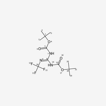 CC(C)(C)OC(=O)NC(=NC(F)(F)F)NC(=O)OC(C)(C)C